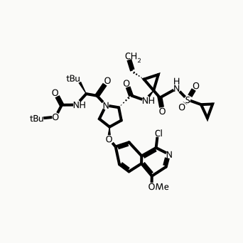 C=C[C@@H]1C[C@]1(NC(=O)[C@@H]1C[C@@H](Oc2ccc3c(OC)cnc(Cl)c3c2)CN1C(=O)[C@@H](NC(=O)OC(C)(C)C)C(C)(C)C)C(=O)NS(=O)(=O)C1CC1